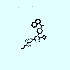 C=CCNC(=O)CNC(=O)CN(C(=O)C1CCC1)C1CCN([C@H](C)c2cccc3ccccc23)CC1